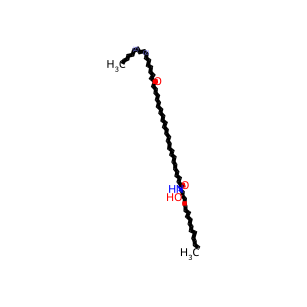 CCCCC/C=C\C/C=C\CCCCCCCC(=O)CCCCCCCCCCCCCCCCCCCCCCCCCCCCCC(=O)NCC(O)CCCCCCCCCCCCCCCC